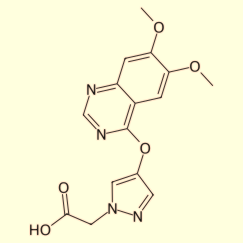 COc1cc2ncnc(Oc3cnn(CC(=O)O)c3)c2cc1OC